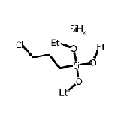 CCO[Si](CCCCl)(OCC)OCC.[SiH4]